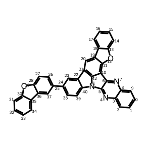 c1ccc2nc3c(nc2c1)c1c2oc4ccccc4c2cc2c4cc(-c5ccc6oc7ccccc7c6c5)ccc4n3c21